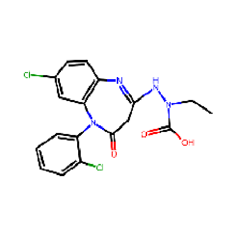 CCN(NC1=Nc2ccc(Cl)cc2N(c2ccccc2Cl)C(=O)C1)C(=O)O